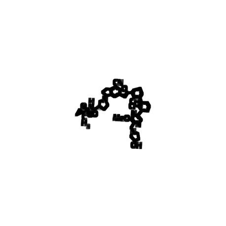 COc1nc(-c2cccc(-c3cccc(-c4cc5cc6c(c(C#N)c5o4)CC[C@H]6N4CC[C@@H](C(=O)NS(=O)(=O)C5(C)CC5)C4)c3C)c2Cl)cnc1CN1CC[C@@H](O)C1